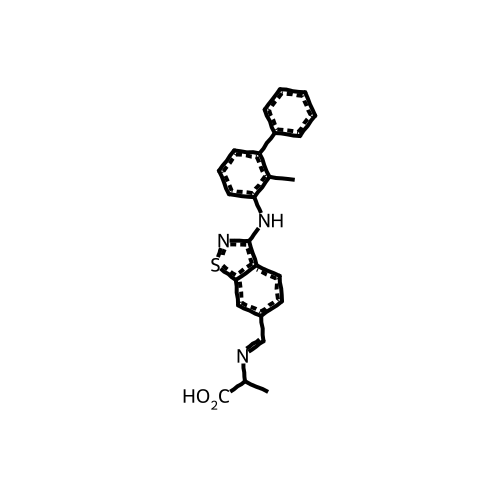 Cc1c(Nc2nsc3cc(C=NC(C)C(=O)O)ccc23)cccc1-c1ccccc1